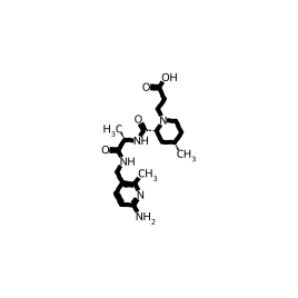 Cc1nc(N)ccc1CNC(=O)[C@H](C)NC(=O)[C@H]1C[C@@H](C)CCN1CCC(=O)O